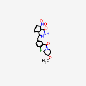 COC1CCN(C(=O)c2cc(Cc3n[nH]c(=O)c4c([N+](=O)[O-])cccc34)ccc2F)CC1